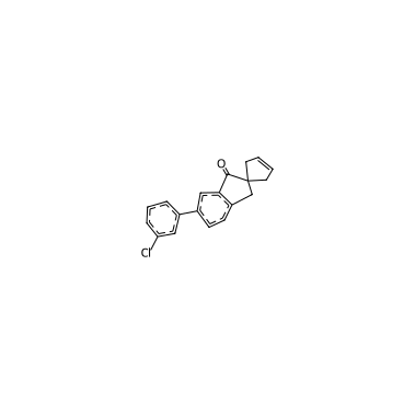 O=C1c2cc(-c3cccc(Cl)c3)ccc2CC12CC=CC2